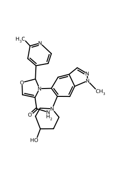 Cc1cc(C2OC=C(C(N)=O)N2c2cc3cnn(C)c3cc2N2CCC(O)CC2)ccn1